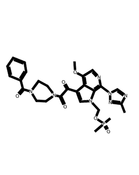 COc1cnc(-n2cnc(C)n2)c2c1c(C(=O)C(=O)N1CCN(C(=O)c3ccccc3)CC1)cn2COP(C)(C)=O